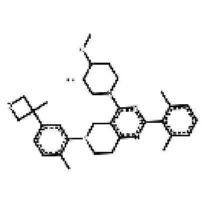 COC1CCN(c2nc(-c3c(C)cccc3C)nc3c2CN(c2cc(C4(C)COC4)ccc2C)CC3)C[C@@H]1C